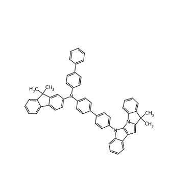 CC1(C)c2ccccc2-c2ccc(N(c3ccc(-c4ccccc4)cc3)c3ccc(-c4ccc(-n5c6ccccc6c6cc7n(c65)-c5ccccc5C7(C)C)cc4)cc3)cc21